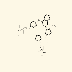 CCC(F)C(F)(F)COc1ccc(C(=O)c2cc3c4cc(C(=O)c5ccccc5OCC(F)(F)C(F)F)ccc4n(CC)c3c3ccccc23)cc1